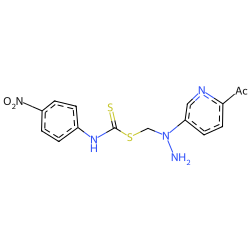 CC(=O)c1ccc(N(N)CSC(=S)Nc2ccc([N+](=O)[O-])cc2)cn1